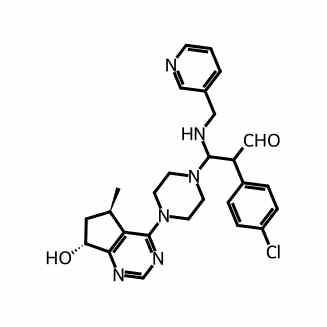 C[C@@H]1C[C@@H](O)c2ncnc(N3CCN(C(NCc4cccnc4)C(C=O)c4ccc(Cl)cc4)CC3)c21